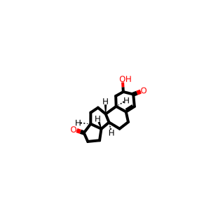 O=C1C=C2CC[C@H]3[C@@H]4CCC(=O)[C@H]4CC[C@@H]3[C@H]2CC1O